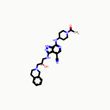 CC(=O)N1CCC(Nc2ncc(C#N)c3c(NC[C@@H](O)CN4CCc5ccccc5C4)n[nH]c23)CC1